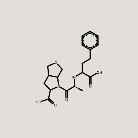 C[C@H](NC(CCc1ccccc1)C(=O)O)C(=O)N1C(C(=O)O)CC2COCC21